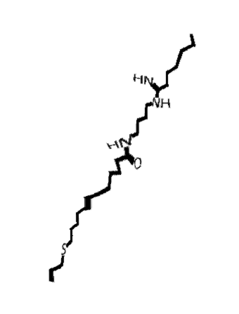 CCCCCCC(=N)NCCCCNC(=O)CCCCCCCCCCSCCC